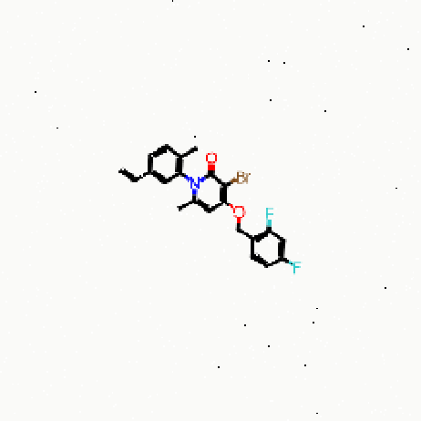 C=Cc1ccc(C)c(-n2c(C)cc(OCc3ccc(F)cc3F)c(Br)c2=O)c1